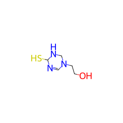 OCCN1C=NC(S)NC1